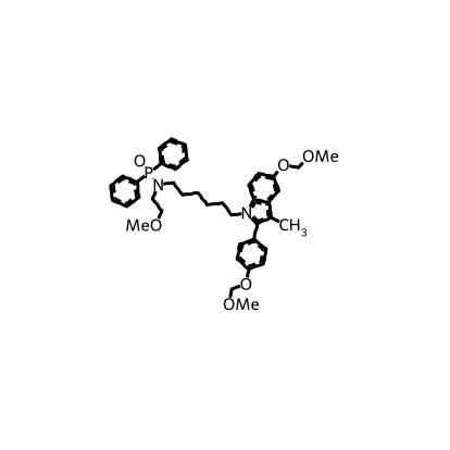 COCCN(CCCCCCn1c(-c2ccc(OCOC)cc2)c(C)c2cc(OCOC)ccc21)P(=O)(c1ccccc1)c1ccccc1